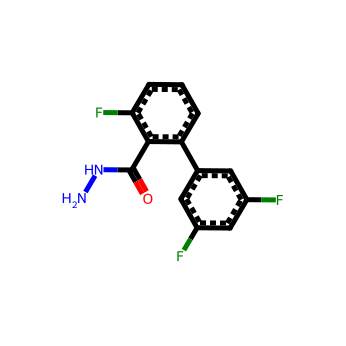 NNC(=O)c1c(F)cccc1-c1cc(F)cc(F)c1